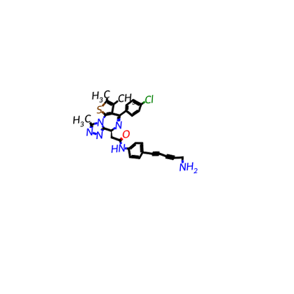 Cc1sc2c(c1C)C(c1ccc(Cl)cc1)=N[C@@H](CC(=O)Nc1ccc(C#CC#CCN)cc1)c1nnc(C)n1-2